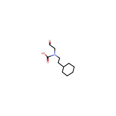 O=CCN(CCC1CCCCC1)C(=O)O